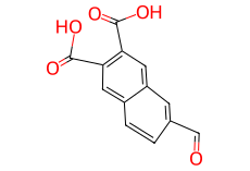 O=Cc1ccc2cc(C(=O)O)c(C(=O)O)cc2c1